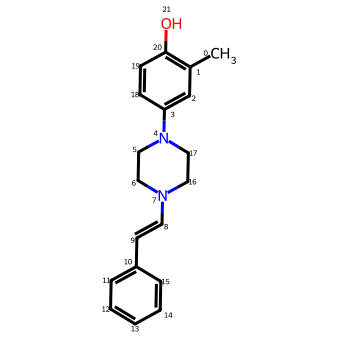 Cc1cc(N2CCN(C=Cc3ccccc3)CC2)ccc1O